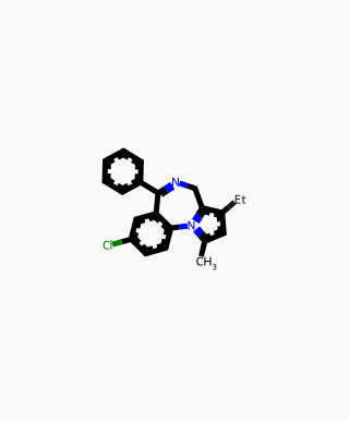 CCc1cc(C)n2c1CN=C(c1ccccc1)c1cc(Cl)ccc1-2